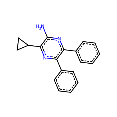 Nc1nc(-c2ccccc2)c(-c2ccccc2)nc1C1CC1